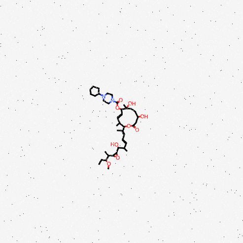 CCC(OC)C(C)C1OC1C(O)C(C)/C=C/C=C(\C)C1OC(=O)CC(O)CCC(C)(O)C(OC(=O)N2CCN(C3CCCCC3)CC2)/C=C/C1C